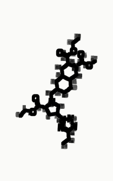 CCOC(=O)C1CC(n2nnc(CC)n2)CN1CC1CCC2CN(C(=O)OC)C(C(=O)OCC)CC2C1